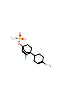 CC1=CCC(C23CCC(OS(=O)(=O)C(F)(F)F)(C=C2F)CC3)CC1